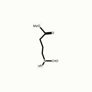 CCCN([C]=O)CCCC(=O)OC